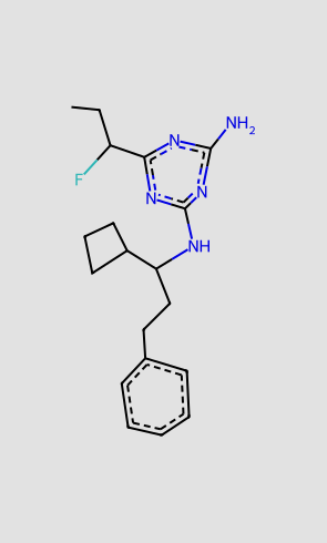 CCC(F)c1nc(N)nc(NC(CCc2ccccc2)C2CCC2)n1